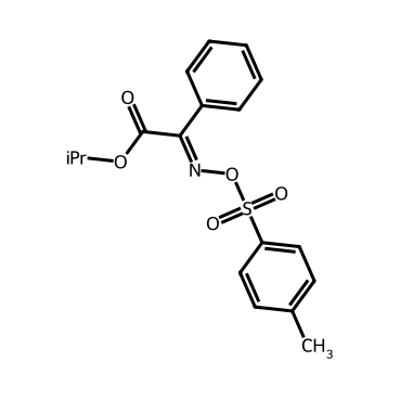 Cc1ccc(S(=O)(=O)O/N=C(/C(=O)OC(C)C)c2ccccc2)cc1